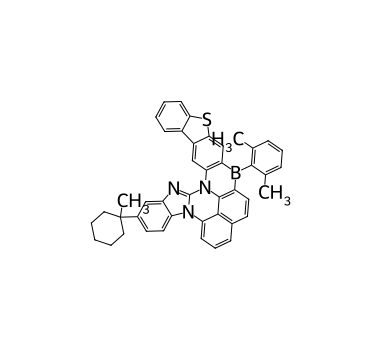 Cc1cccc(C)c1B1c2cc3sc4ccccc4c3cc2-n2c3c1ccc1cccc(c13)n1c3ccc(C4(C)CCCCC4)cc3nc21